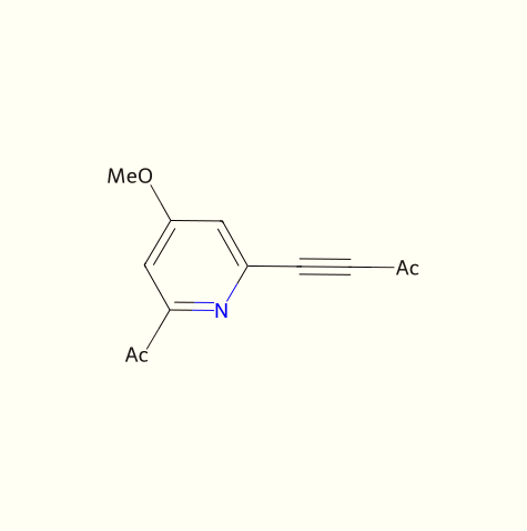 COc1cc(C#CC(C)=O)nc(C(C)=O)c1